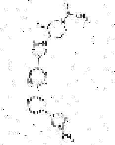 CC(=O)N1CCC(n2cc(-c3cnc(-c4cccc(-c5cnn(C)c5)c4)nc3)cn2)C(F)C1